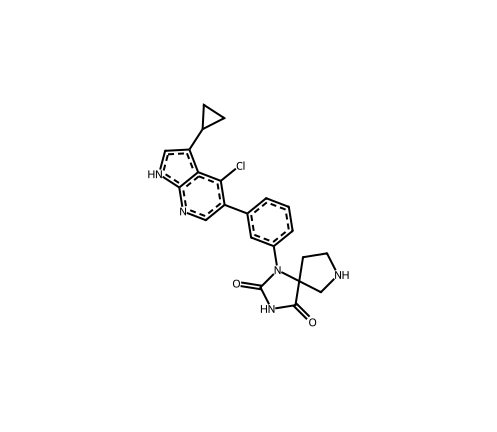 O=C1NC(=O)C2(CCNC2)N1c1cccc(-c2cnc3[nH]cc(C4CC4)c3c2Cl)c1